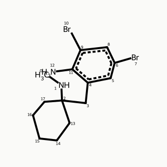 CNC1(Cc2cc(Br)cc(Br)c2N)CCCCC1